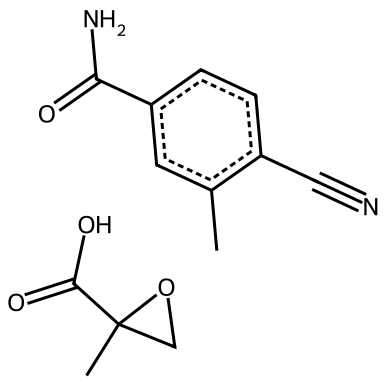 CC1(C(=O)O)CO1.Cc1cc(C(N)=O)ccc1C#N